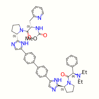 CCN(CC)[C@@H](C(=O)N1CCC[C@H]1c1ncc(-c2ccc(-c3ccc(-c4cnc([C@@H]5CCCN5C(=O)[C@H](Cc5ccccn5)NC(=O)OC)[nH]4)cc3)cc2)[nH]1)c1ccccc1